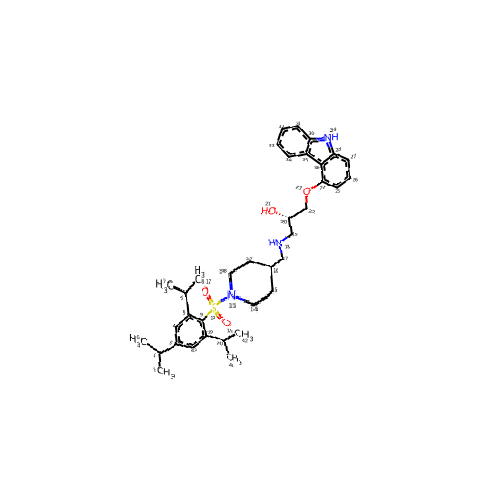 CC(C)c1cc(C(C)C)c(S(=O)(=O)N2CCC(CNC[C@H](O)COc3cccc4[nH]c5ccccc5c34)CC2)c(C(C)C)c1